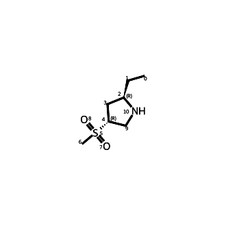 CC[C@@H]1C[C@@H](S(C)(=O)=O)CN1